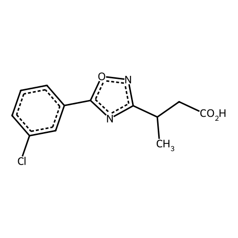 CC(CC(=O)O)c1noc(-c2cccc(Cl)c2)n1